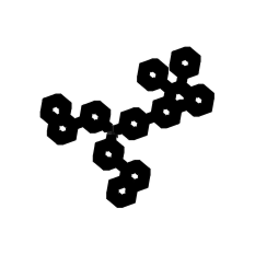 c1ccc(-c2c(-c3ccccc3)c3cc(-c4ccc(N(c5cccc(-c6cccc7ccccc67)c5)c5cccc(-c6cccc7ccccc67)c5)cc4)ccc3c3ccccc23)cc1